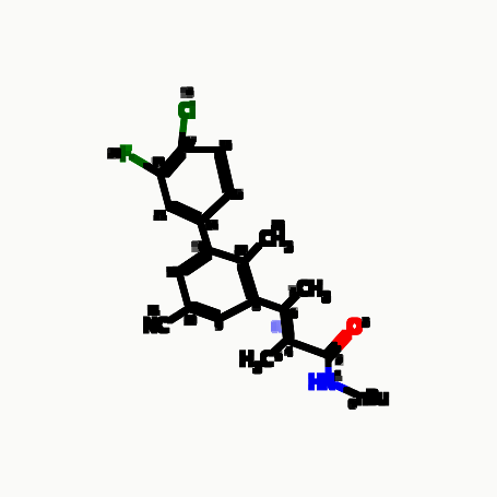 CCCCNC(=O)/C(C)=C(\C)c1cc(C#N)cc(-c2ccc(Cl)c(F)c2)c1C